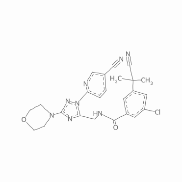 CC(C)(C#N)c1cc(Cl)cc(C(=O)NCc2nc(N3CCOCC3)nn2-c2ccc(C#N)cn2)c1